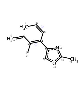 C=C/C(F)=C(\C=C/C)c1coc(C)n1